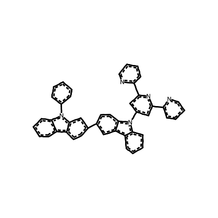 c1ccc(-n2c3ccccc3c3ccc(-c4ccc5c(c4)c4ccccc4n5-c4cc(-c5ccccn5)nc(-c5ccccn5)c4)cc32)cc1